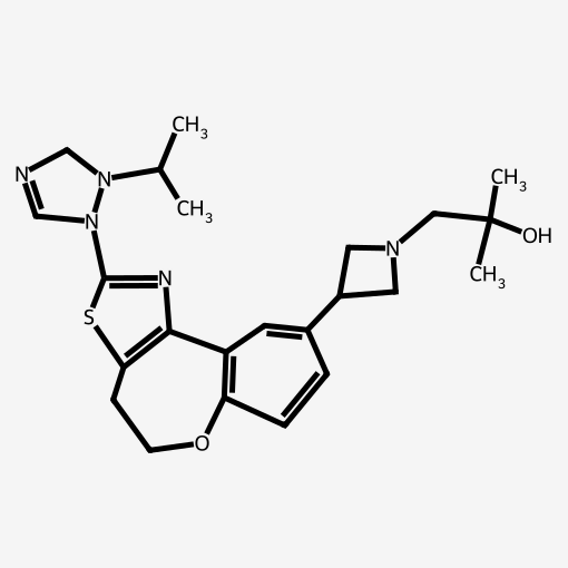 CC(C)N1CN=CN1c1nc2c(s1)CCOc1ccc(C3CN(CC(C)(C)O)C3)cc1-2